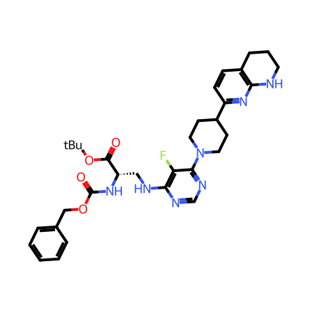 CC(C)(C)OC(=O)[C@H](CNc1ncnc(N2CCC(c3ccc4c(n3)NCCC4)CC2)c1F)NC(=O)OCc1ccccc1